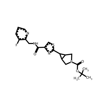 CC(C)(C)OC(=O)N1CC2C(C1)C2c1nc(C(=O)NCc2ncccc2F)cs1